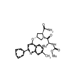 Cc1ccc2c(O[C@@H]3C[C@@H](C(N)=O)N(C(=O)[C@@H](NC(=O)OC(C)(C)C)C(C)(C)C)C3)cc(-c3ccccc3)nc2c1